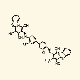 [C-]#[N+]c1c(C)c(N=Nc2ccc(-c3ccc(N=Nc4c(C)c(C#N)c5nc6ccccc6n5c4O)c(Cl)c3)cc2Cl)c(O)n2c1nc1ccccc12